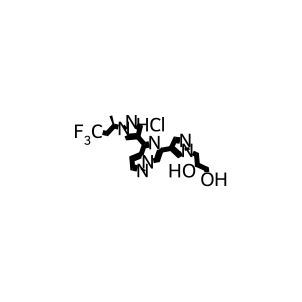 C[C@H](CC(F)(F)F)n1cc(-c2nc(-c3cnn(C[C@@H](O)CO)c3)cn3nccc23)cn1.Cl